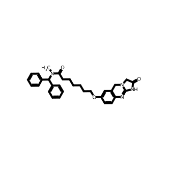 CN(C(=O)CCCCCCOc1ccc2c(c1)CN1CC(=O)NC1=N2)C(c1ccccc1)c1ccccc1